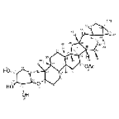 CC(=O)O[C@@H]1C[C@@]23C[C@@]24CC[C@H](O[C@@H]2OC[C@@H](O)[C@H](O)[C@H]2O)C(C)(C)[C@@H]4CC[C@H]3[C@]2(C)C[C@@H]3O[C@@]4(C[C@@H](C)[C@@H]3[C@@]12C)OC[C@@]1(C)O[C@@H]41